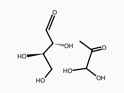 CC(=O)C(O)O.O=C[C@H](O)[C@H](O)CO